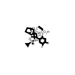 CC(C)(NS(=O)(=O)C1CC1)C(=O)N1C2CCC1CC([C@H](N)Cc1cc(F)c(F)cc1F)C2.O=C(O)/C=C\C(=O)O